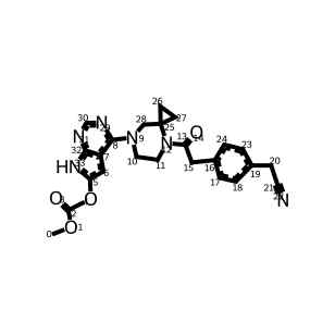 COC(=O)Oc1cc2c(N3CCN(C(=O)Cc4ccc(CC#N)cc4)C4(CC4)C3)ncnc2[nH]1